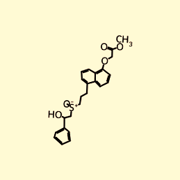 COC(=O)COc1cccc2c(CCC[S+]([O-])CC(O)c3ccccc3)cccc12